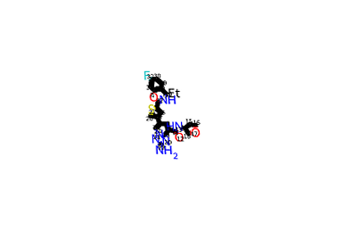 CC[C@H](NC(=O)c1cc(-c2cc(C(=O)N[C@H]3CCOC3)c3nc(N)nn3c2)cs1)c1ccc(F)cc1